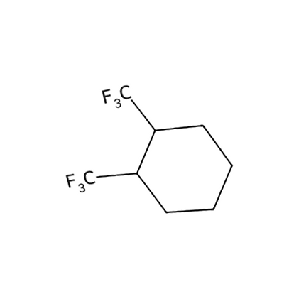 FC(F)(F)C1CCCCC1C(F)(F)F